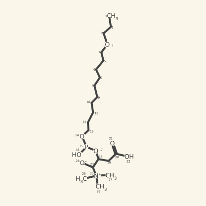 CCCOCCCCCCCCCCOP(O)OC(CC(=O)O)C([O-])[N+](C)(C)C